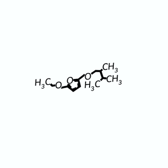 CCOCc1ccc(COCC(C)C(C)C)o1